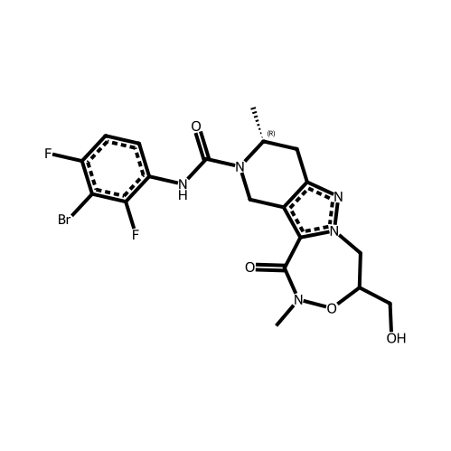 C[C@@H]1Cc2nn3c(c2CN1C(=O)Nc1ccc(F)c(Br)c1F)C(=O)N(C)OC(CO)C3